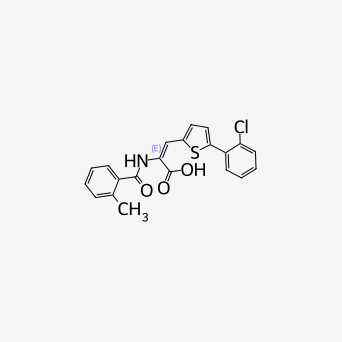 Cc1ccccc1C(=O)N/C(=C/c1ccc(-c2ccccc2Cl)s1)C(=O)O